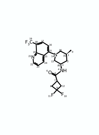 C[C@H]1C[C@@H](NC(=O)C2CC(F)(F)C2)CN(c2ccc(C(F)(F)F)c3ncccc23)C1